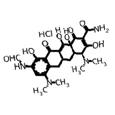 CN(C)c1cc(NC=O)c(O)c2c1CC1CC3[C@H](N(C)C)C(O)=C(C(N)=O)C(=O)C3(O)C(O)=C1C2=O.Cl